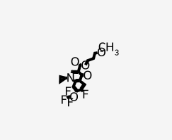 COCCCOC(=O)c1cn(C2CC2)c2cc(OC(F)(F)F)c(F)cc2c1=O